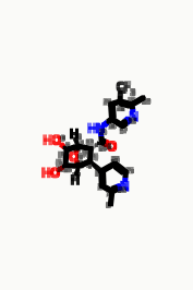 Cc1cc([C@H]2[C@H]3O[C@H]([C@H](O)[C@@H]3O)[C@@H]2C(=O)Nc2cnc(C)c(C(F)(F)F)c2)ccn1